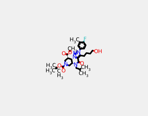 COC(=O)[C@@H]1C[C@H](N(CC(C)C)C(=O)c2nnn(-c3ccc(F)c(C)c3)c2CCCCO)CN(C(=O)OC(C)(C)C)C1